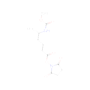 CC(CCCC(=O)ON1C(=O)CCC1=O)NC(=O)OC(C)(C)C